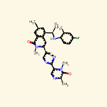 Cc1cc([C@@H](C)Nc2ccc(F)cc2C(F)(F)F)c2cc(-c3cnc(-c4cnc(C)c(=O)n4C)nc3)n(C)c(=O)c2c1